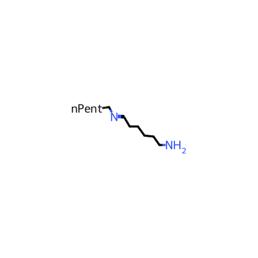 CCCCCCN=CCCCCCN